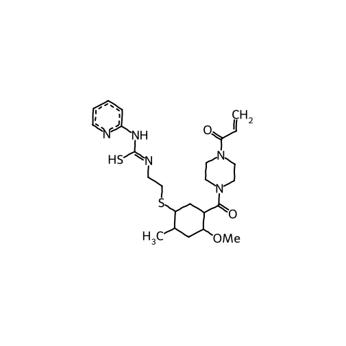 C=CC(=O)N1CCN(C(=O)C2CC(SCC/N=C(\S)Nc3ccccn3)C(C)CC2OC)CC1